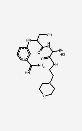 CC(C)C(NC(=O)C(CO)Nc1cccc(C(=N)N)c1)C(=O)NCCN1CCOCC1.Cl